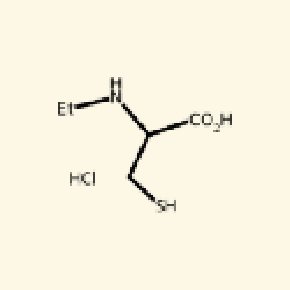 CCNC(CS)C(=O)O.Cl